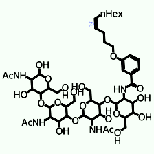 CCCCCC/C=C\CCCOc1cccc(C(=O)NC2C(OC3C(CO)OC(OC4C(CO)OC(OC5C(CO)OC(O)C(NC(C)=O)C5O)C(NC(C)=O)C4O)C(NC(C)=O)C3O)OC(CO)C(O)C2O)c1